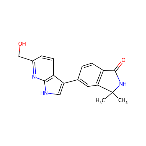 CC1(C)NC(=O)c2ccc(-c3c[nH]c4nc(CO)ccc34)cc21